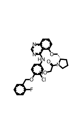 O=C(CO)N1CCC[C@H]1COc1cccc2ncnc(Nc3ccc(OCc4ccccc4F)c(Cl)c3)c12